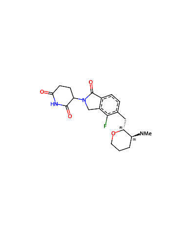 CN[C@H]1CCCO[C@@H]1Cc1ccc2c(c1F)CN(C1CCC(=O)NC1=O)C2=O